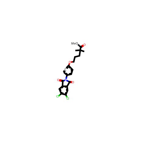 COC(=O)C(C)(C)CCCOc1ccc(N2C(=O)c3cc(Cl)c(Cl)cc3C2=O)cc1